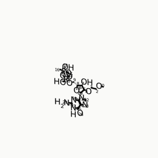 COCCOC1[C@@H](O)[C@@H](COP(=O)(O)OP(C)(=O)O)O[C@H]1n1cnc2c(=O)[nH]c(N)nc21